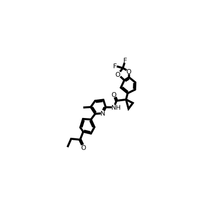 CCC(=O)c1ccc(-c2nc(NC(=O)C3(c4ccc5c(c4)OC(F)(F)O5)CC3)ccc2C)cc1